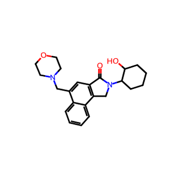 O=C1c2cc(CN3CCOCC3)c3ccccc3c2CN1C1CCCCC1O